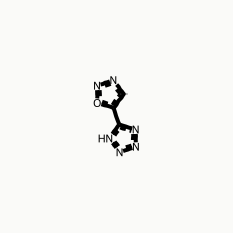 [c]1nnoc1-c1nnn[nH]1